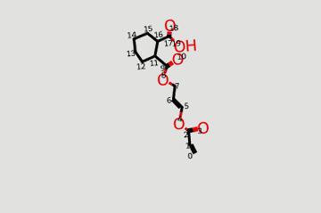 C=CC(=O)OC=CCOC(=O)C1CCCCC1C(=O)O